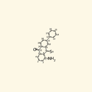 Nc1cccc2c1C(=S)c1cc(-c3ccccc3)ccc1C2=O